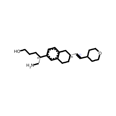 NC[C@H](CCCO)c1ccc2c(c1)CC[C@@H](/C=C/C1CCOCC1)C2